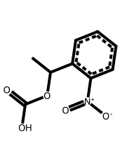 CC(OC(=O)O)c1ccccc1[N+](=O)[O-]